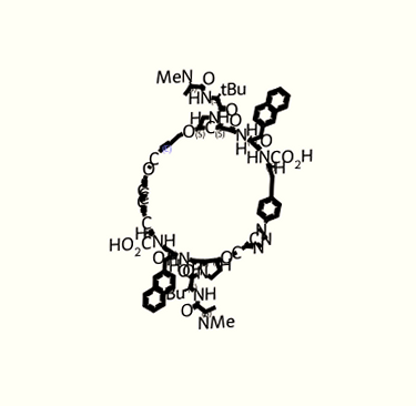 CN[C@@H](C)C(=O)N[C@H](C(=O)N1CC[C@H]2OCc3cn(nn3)-c3ccc(cc3)C[C@@H](C(=O)O)NC(=O)[C@H](Cc3ccc4ccccc4c3)NC(=O)[C@@H]3C[C@@H](CN3C(=O)[C@@H](NC(=O)[C@H](C)NC)C(C)(C)C)OC/C=C/COc3ccc(cc3)C[C@@H](C(=O)O)NC(=O)[C@H](Cc3ccc4ccccc4c3)NC(=O)[C@H]21)C(C)(C)C